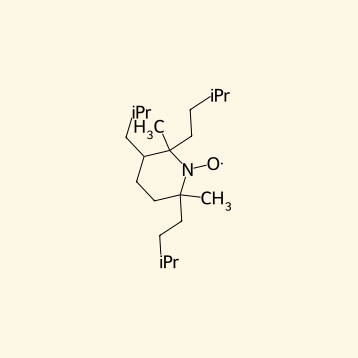 CC(C)CCC1(C)CCC(CC(C)C)C(C)(CCC(C)C)N1[O]